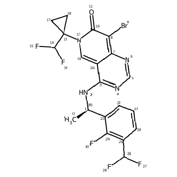 C[C@@H](Nc1ncnc2c(Br)c(=O)n(C3(C(F)F)CC3)cc12)c1cccc(C(F)F)c1F